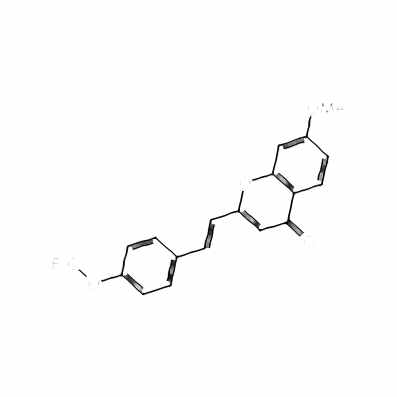 COc1ccc2c(=O)cc(/C=C/c3ccc(OC(F)(F)F)cc3)oc2c1